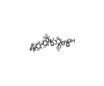 CCOc1cc(CC(=O)N2CC(C)(C)c3cc(-c4ccc(C(F)(F)F)cc4)ccc32)ccc1OCC(=O)O